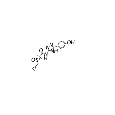 CC(C)(C(=O)Nc1nnc(-c2ccc(O)cc2)[nH]1)[S+]([O-])CC1CC1